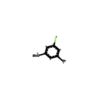 COc1cc(F)cc(C(C)C)c1